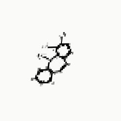 CC(C)c1ccc2c(c1C(C)C)N(C)c1ccccc1C=C2